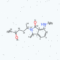 C=C1c2cccc(NC(C)C)c2C(=O)N1C(C)CCC(=O)CCC